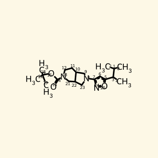 CC(C)C(C)c1cc(N2CC3CCN(C(=O)OC(C)(C)C)CC3C2)no1